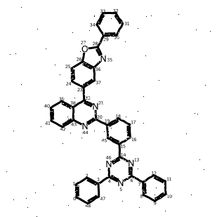 c1ccc(-c2nc(-c3ccccc3)nc(-c3cccc(-c4nc(-c5ccc6oc(-c7ccccc7)nc6c5)c5ccccc5n4)c3)n2)cc1